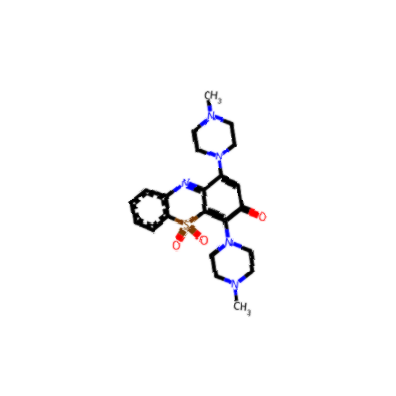 CN1CCN(C2=CC(=O)C(N3CCN(C)CC3)=C3C2=Nc2ccccc2S3(=O)=O)CC1